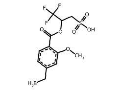 BCc1ccc(C(=O)OC(CS(=O)(=O)O)C(F)(F)F)c(OC)c1